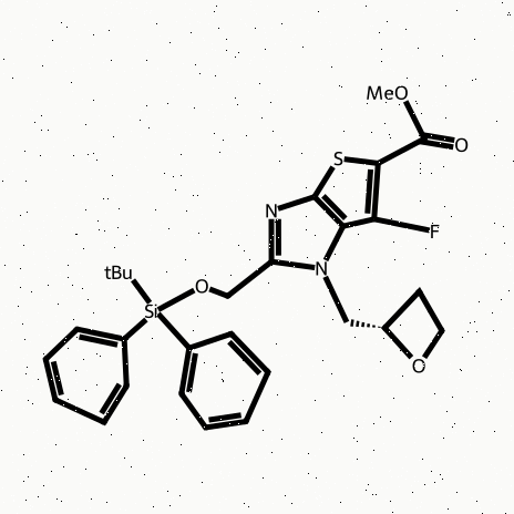 COC(=O)c1sc2nc(CO[Si](c3ccccc3)(c3ccccc3)C(C)(C)C)n(C[C@@H]3CCO3)c2c1F